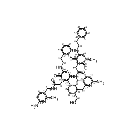 Cc1nc(N)ccc1CNC(=O)Cn1c(-c2ccc(CO)c(Cc3nc(N)ccc3CNC(=O)Cn3c(=O)c(NCCc4ccccc4)cn(C)c3=O)c2)cnc(NCCc2ccccc2)c1=O